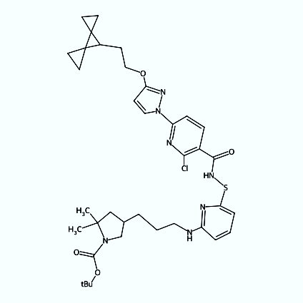 CC(C)(C)OC(=O)N1CC(CCCNc2cccc(SNC(=O)c3ccc(-n4ccc(OCCC5C6(CC6)C56CC6)n4)nc3Cl)n2)CC1(C)C